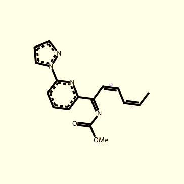 C\C=C/C=C\C(=N\C(=O)OC)c1cccc(-n2cccn2)n1